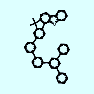 CC1(C)c2cc(-c3cccc(-c4cccc(-c5cc(-c6ccccc6)cc(-c6ccccc6)c5)c4)c3)ccc2-c2c1ccc1c2oc2ccccc21